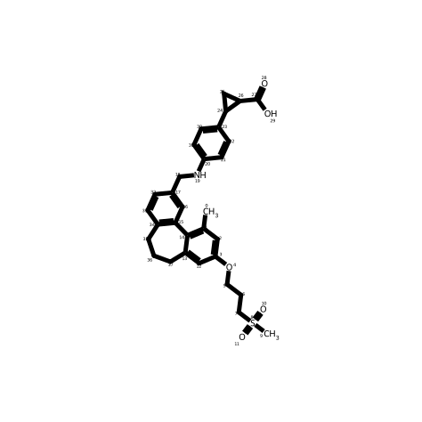 Cc1cc(OCCCS(C)(=O)=O)cc2c1-c1cc(CNc3ccc(C4CC4C(=O)O)cc3)ccc1CCC2